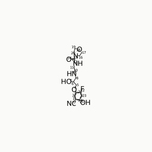 N#Cc1cc(OC[C@@H](O)CNCCNC(=O)N2CCOCC2)c(F)cc1O